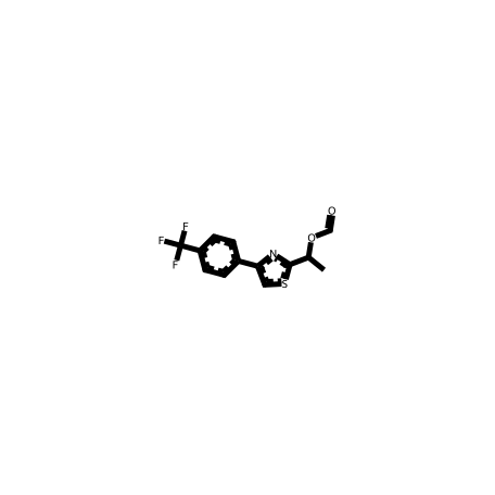 CC(OC=O)c1nc(-c2ccc(C(F)(F)F)cc2)cs1